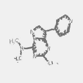 Cc1nc(N(C)C)n2ncc(-c3ccncc3)c2n1